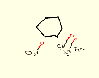 C1CCCCC1.O=[N+]([O-])[O-].O=[N+]([O-])[O-].O=[N+]([O-])[O-].[Pr+3]